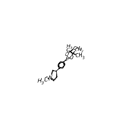 CN1CCC(c2ccc(B3OC(C)(C)C(C)(C)O3)cc2)C1